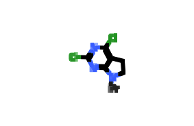 CC(C)N1CCc2c(Cl)nc(Cl)nc21